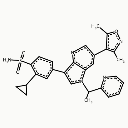 Cc1noc(C)c1-c1cnc2c(-c3ccc(S(N)(=O)=O)c(C4CC4)c3)cn(C(C)c3ccccn3)c2c1